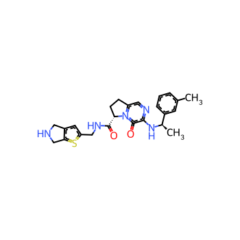 Cc1cccc([C@@H](C)Nc2ncc3n(c2=O)[C@H](C(=O)NCc2cc4c(s2)CNC4)CC3)c1